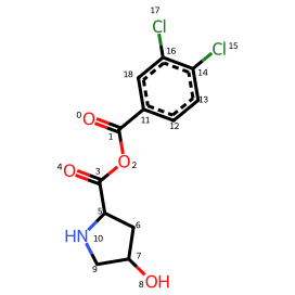 O=C(OC(=O)C1CC(O)CN1)c1ccc(Cl)c(Cl)c1